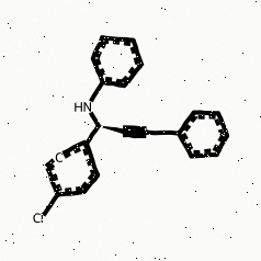 Clc1ccc([C@H](C#Cc2ccccc2)Nc2ccccc2)cc1